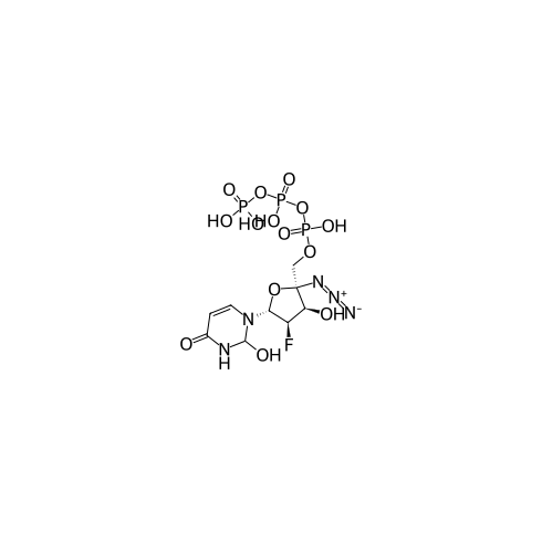 [N-]=[N+]=N[C@]1(COP(=O)(O)OP(=O)(O)OP(=O)(O)O)O[C@@H](N2C=CC(=O)NC2O)[C@H](F)[C@@H]1O